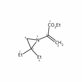 C=C(C(=O)OCC)N1CC1(CC)CC